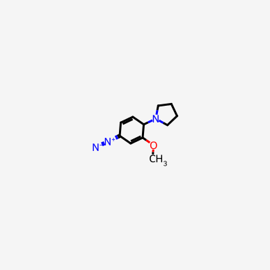 COC1=CC(=[N+]=[N-])C=CC1N1CCCC1